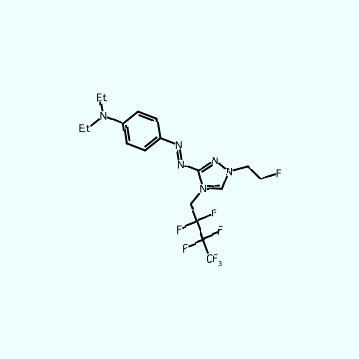 CCN(CC)c1ccc(/N=N/c2nn(CCF)c[n+]2CC(F)(F)C(F)(F)C(F)(F)F)cc1